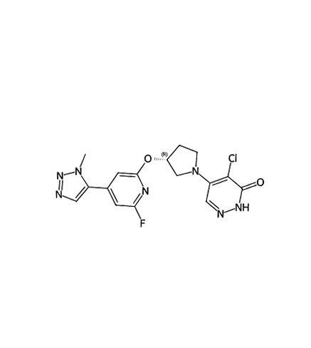 Cn1nncc1-c1cc(F)nc(O[C@@H]2CCN(c3cn[nH]c(=O)c3Cl)C2)c1